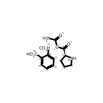 NC(=O)OC(=O)[C@@H]1CCCN1.O=C(O)c1ccccc1C(=O)O